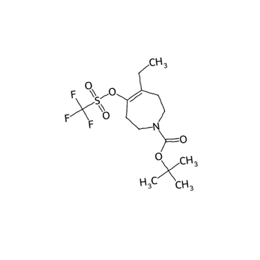 CCC1=C(OS(=O)(=O)C(F)(F)F)CCN(C(=O)OC(C)(C)C)CC1